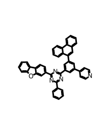 c1ccc(-c2nc(-c3cc(-c4ccncc4)cc(-c4cc5ccccc5c5ccccc45)c3)nc(-c3ccc4c(c3)oc3ccccc34)n2)cc1